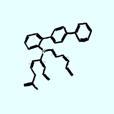 C=C/C=C\C=C\N(C(/C=C\CC(=C)C)=C/C=C)c1ccccc1-c1ccc(-c2ccccc2)cc1